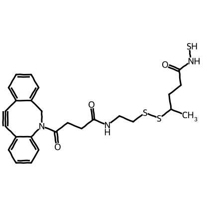 CC(CCC(=O)NS)SSCCNC(=O)CCC(=O)N1Cc2ccccc2C#Cc2ccccc21